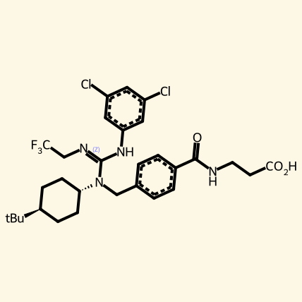 CC(C)(C)[C@H]1CC[C@H](N(Cc2ccc(C(=O)NCCC(=O)O)cc2)/C(=N\CC(F)(F)F)Nc2cc(Cl)cc(Cl)c2)CC1